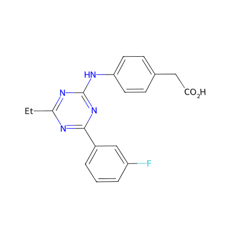 CCc1nc(Nc2ccc(CC(=O)O)cc2)nc(-c2cccc(F)c2)n1